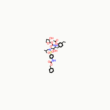 CCc1ccc(C[C@H](NC(=O)O[C@@H]2OCCC2O)[C@@H](O)CN(CC(C)C)S(=O)(=O)c2ccc(NC(=O)OCc3ccccc3)cc2)c(OC(C)=O)c1